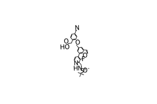 CC(C)(C)[S+]([O-])NCc1nccc(-c2cc(COc3cc(C#N)ccc3CC(=O)O)cc3ccoc23)c1F